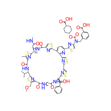 CNC(=O)C[C@@H]1NC(=O)c2csc(n2)-c2ccc(-c3nc(N(Cc4cccc(C(=O)O)c4)C(=O)O[C@H]4CC[C@H](C(=O)O)CC4)cs3)nc2-c2csc(n2)-c2csc(n2)[C@H]([C@@H](O)c2ccccc2)NC(=O)CNC(=O)c2nc(sc2COC)C(C(C)C)NC(=O)c2nc1sc2C